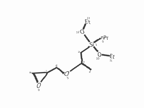 CCC[Si](CC(C)OCC1CO1)(OCC)OCC